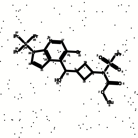 CCCS(=O)(=O)N(C(=O)OC(C)(C)C)C1CC(C(O)c2c(Br)cnc3c2ccn3[Si](C(C)C)(C(C)C)C(C)C)C1